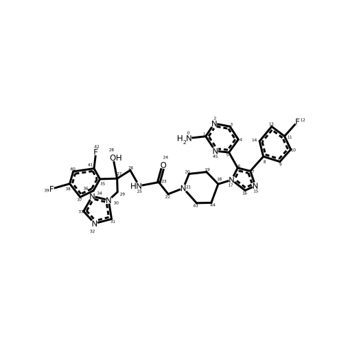 Nc1nccc(-c2c(-c3ccc(F)cc3)ncn2C2CCN(CC(=O)NCC(O)(Cn3cncn3)c3ccc(F)cc3F)CC2)n1